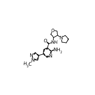 Cn1cc(-c2cnc(N)c(C(=O)NC3COCC3N3CCCC3)c2)cn1